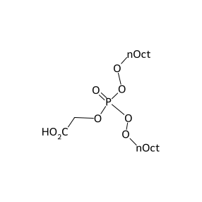 CCCCCCCCOOP(=O)(OCC(=O)O)OOCCCCCCCC